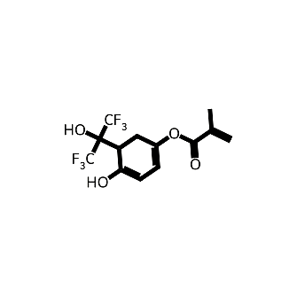 C=C(C)C(=O)OC1=CC=C(O)C(C(O)(C(F)(F)F)C(F)(F)F)C1